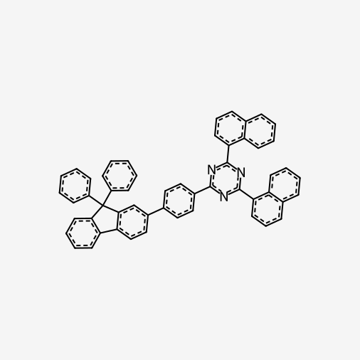 c1ccc(C2(c3ccccc3)c3ccccc3-c3ccc(-c4ccc(-c5nc(-c6cccc7ccccc67)nc(-c6cccc7ccccc67)n5)cc4)cc32)cc1